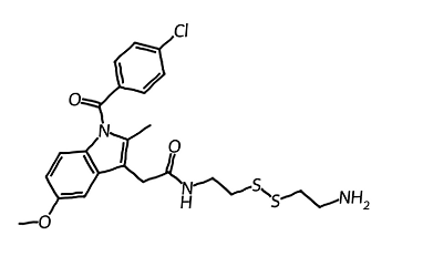 COc1ccc2c(c1)c(CC(=O)NCCSSCCN)c(C)n2C(=O)c1ccc(Cl)cc1